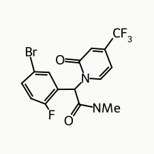 CNC(=O)C(c1cc(Br)ccc1F)n1ccc(C(F)(F)F)cc1=O